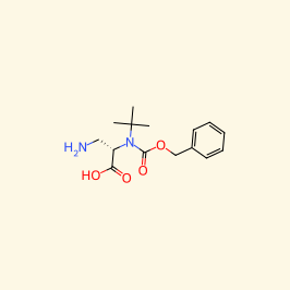 CC(C)(C)N(C(=O)OCc1ccccc1)[C@@H](CN)C(=O)O